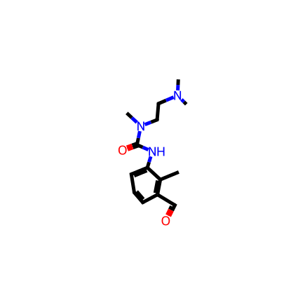 Cc1c(C=O)cccc1NC(=O)N(C)CCN(C)C